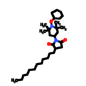 CCCCCCCCCCCCC1CC(=O)N(C2CC(C)(C)N(OC3CCCCC3)C(C)(C)C2)C1=O